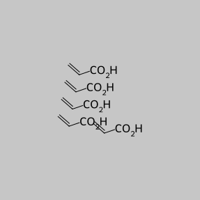 C=CC(=O)O.C=CC(=O)O.C=CC(=O)O.C=CC(=O)O.C=CC(=O)O